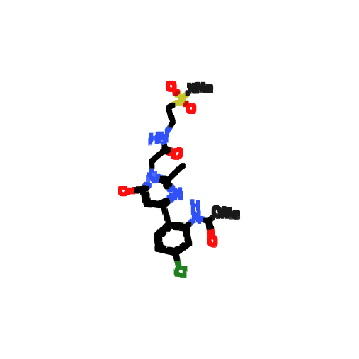 CNS(=O)(=O)CCNC(=O)Cn1c(C)nc(-c2ccc(Cl)cc2NC(=O)OC)cc1=O